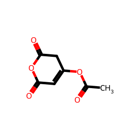 CC(=O)OC1=CC(=O)OC(=O)C1